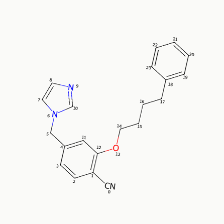 N#Cc1ccc(Cn2ccnc2)cc1OCCCCc1ccccc1